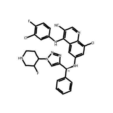 N#Cc1cnc2c(Cl)cc(N[C@@H](c3ccccc3)c3cn(C4CCNCC4F)nn3)cc2c1Nc1ccc(F)c(Cl)c1